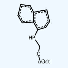 CCCCCCCCCCPc1cccc2ccccc12